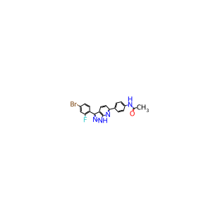 CC(=O)Nc1ccc(-c2ccc3c(-c4ccc(Br)cc4F)n[nH]c3n2)cc1